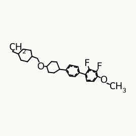 C=CC1CCC(COC2CCC(c3ccc(-c4ccc(OCC)c(F)c4F)cc3)CC2)CC1